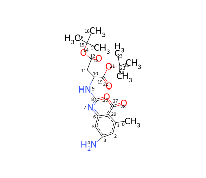 Cc1cc(N)cc2nc(NC(CC(=O)OC(C)(C)C)C(=O)OC(C)(C)C)oc(=O)c12